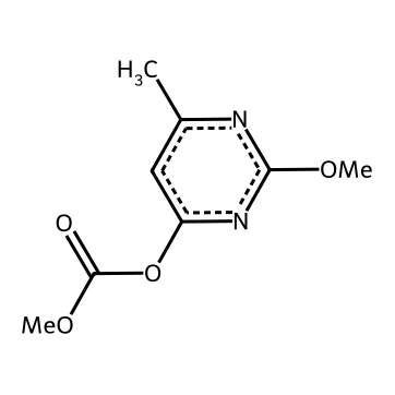 COC(=O)Oc1cc(C)nc(OC)n1